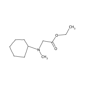 CCOC(=O)CN(C)C1CCCCC1